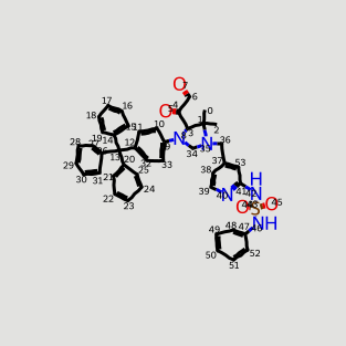 CC1(C)C(C(=O)C=O)N(c2ccc(C(c3ccccc3)(c3ccccc3)c3ccccc3)cc2)CN1Cc1ccnc(NS(=O)(=O)Nc2ccccc2)c1